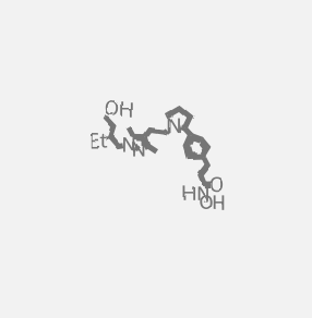 CC[C@@H](CCO)Cn1nc(C)c(CCN2CCCC2c2ccc(/C=C/C(=O)NO)cc2)c1C